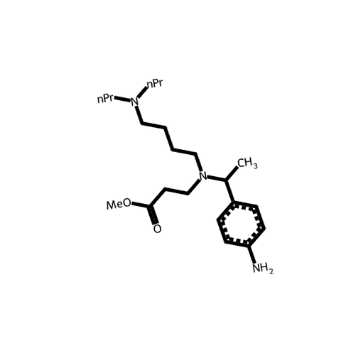 CCCN(CCC)CCCCN(CCC(=O)OC)C(C)c1ccc(N)cc1